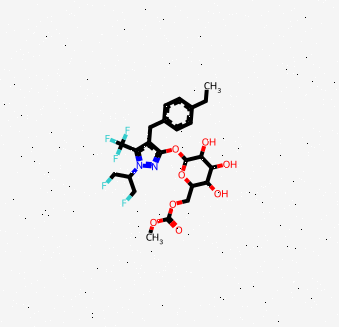 CCc1ccc(Cc2c(OC3OC(COC(=O)OC)C(O)C(O)C3O)nn(C(CF)CF)c2C(F)(F)F)cc1